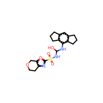 O=S(=O)(NC(O)Nc1c2c(cc3c1CCC3)CCC2)c1nc2c(o1)COCC2